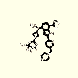 CN(c1ccc(C(N)=O)c2[nH]c(-c3ccc(CN4CCOCC4)cn3)cc12)C1CN(C(=O)OC(C)(C)C)C1